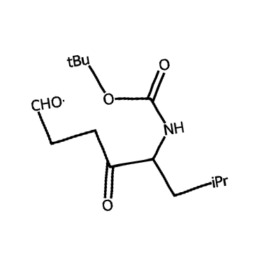 CC(C)CC(NC(=O)OC(C)(C)C)C(=O)CC[C]=O